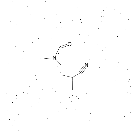 CC(C)C#N.CN(C)C=O